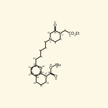 CCOC(=O)CN1CCN(CCCCCc2ccc3c(n2)N(C(=O)OC(C)(C)C)CCC3)CC1=O